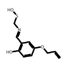 C=CCOc1ccc(O)c(/C=N/CSO)c1